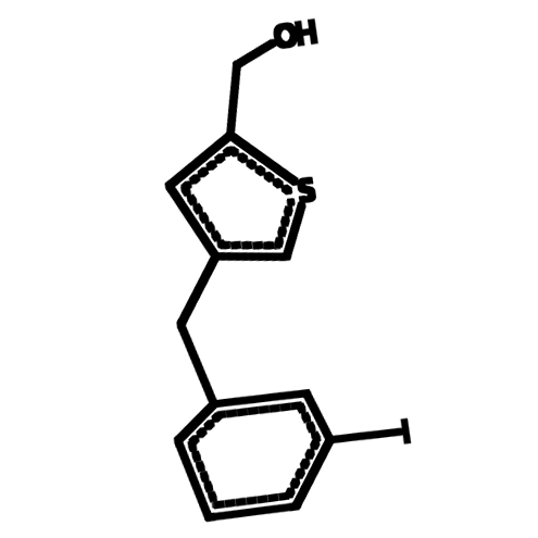 OCc1cc(Cc2cccc(I)c2)cs1